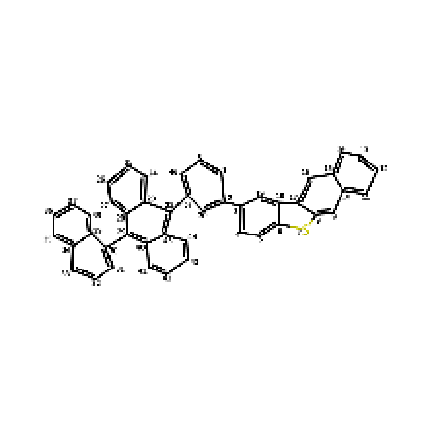 c1cc(-c2ccc3sc4cc5ccccc5cc4c3c2)cc(-c2c3ccccc3c(-c3cccc4ccccc34)c3ccccc23)c1